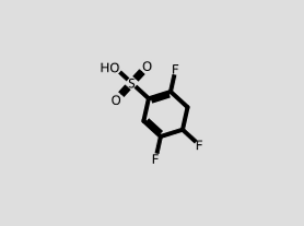 O=S(=O)(O)C1=C(F)CC(F)C(F)=C1